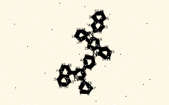 c1ccc(-c2cc(-c3ccc(-n4c5ccccc5c5cc6c(cc54)c4ccccc4n6-c4ccc5ccccc5c4)cc3)cc(-c3cccc4ccccc34)n2)cc1